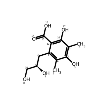 Cc1c(O)c(C)c(C[C@@H](O)CO)c(C(=O)O)c1O